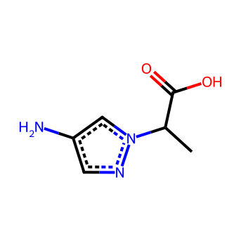 CC(C(=O)O)n1cc(N)cn1